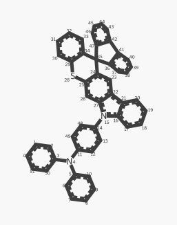 c1ccc(N(c2ccccc2)c2ccc(-n3c4ccccc4c4cc5c(cc43)Sc3ccccc3C53c4ccccc4-c4ccccc43)cc2)cc1